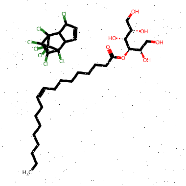 CCCCCCCC/C=C\CCCCCCCC(=O)O[C@@H]([C@H](O)[C@@H](O)CO)[C@H](O)CO.ClC1=C(Cl)C2(Cl)C3C(Cl)C=CC3C1(Cl)C2(Cl)Cl